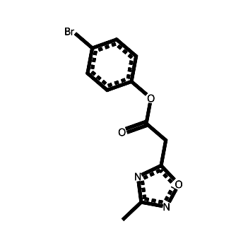 Cc1noc(CC(=O)Oc2ccc(Br)cc2)n1